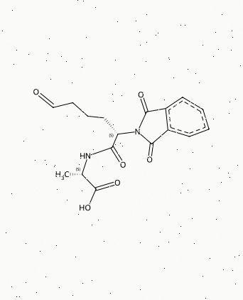 C[C@H](NC(=O)[C@H](CCCC=O)N1C(=O)c2ccccc2C1=O)C(=O)O